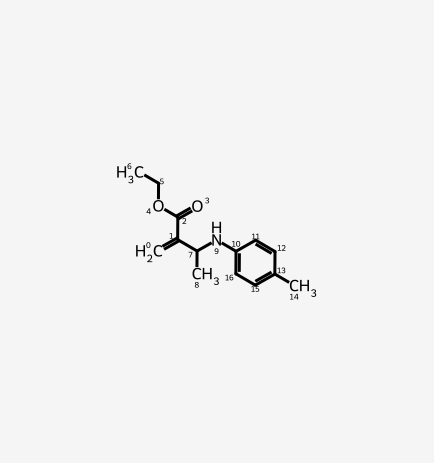 C=C(C(=O)OCC)C(C)Nc1ccc(C)cc1